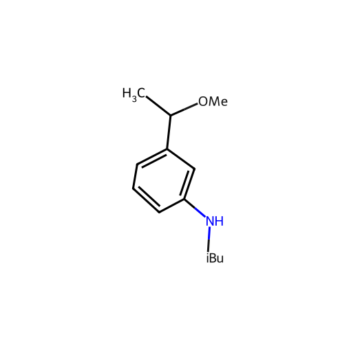 CCC(C)Nc1cccc(C(C)OC)c1